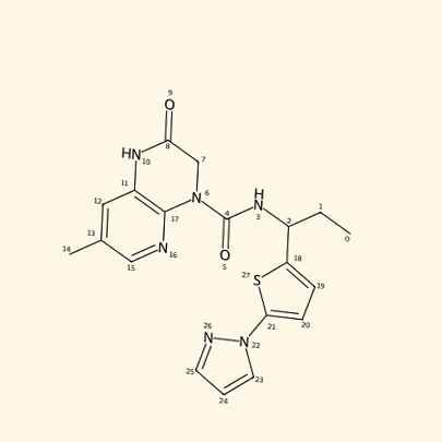 CCC(NC(=O)N1CC(=O)Nc2cc(C)cnc21)c1ccc(-n2cccn2)s1